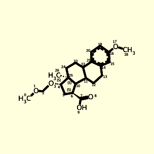 COCO[C@H]1C[C@H](C(=O)O)C2C3CCc4cc(OC)ccc4C3CC[C@@]21C